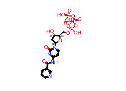 O=C(Nc1ccn([C@H]2C[C@H](O)[C@@H](COP(=O)(O)OP(=O)(O)OP(=O)(O)O)O2)c(=O)n1)c1cccnc1